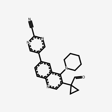 N#Cc1ncc(-c2ccc3ncc(C4(C=O)CC4)c(N4CCCCC4)c3c2)cn1